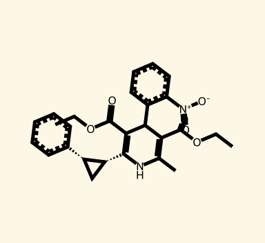 CCOC(=O)C1=C(C)NC([C@@H]2C[C@@H]2c2ccccc2)=C(C(=O)OCC)C1c1ccccc1[N+](=O)[O-]